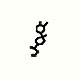 CC1CN(C2(C)CCN(C(=O)OC(C)(C)C)CC2)CCN1